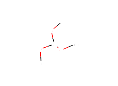 CC(C)[O][Zr]([O]C(C)C)[O]C(C)C